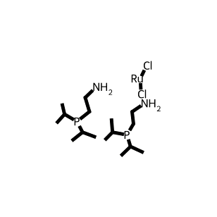 CC(C)P(CCN)C(C)C.CC(C)P(CCN)C(C)C.[Cl][Ru][Cl]